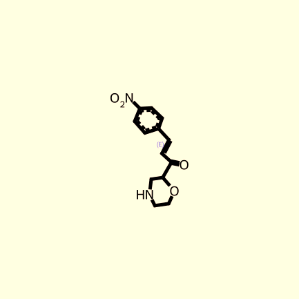 O=C(/C=C/c1ccc([N+](=O)[O-])cc1)C1CNCCO1